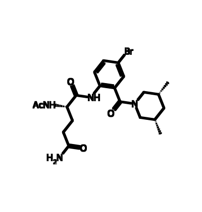 CC(=O)N[C@@H](CCC(N)=O)C(=O)Nc1ccc(Br)cc1C(=O)N1C[C@H](C)C[C@H](C)C1